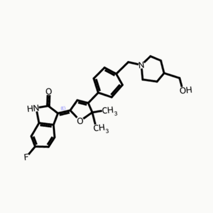 CC1(C)O/C(=C2/C(=O)Nc3cc(F)ccc32)C=C1c1ccc(CN2CCC(CO)CC2)cc1